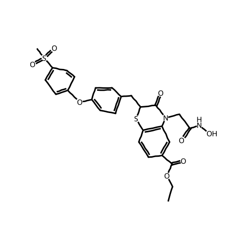 CCOC(=O)c1ccc2c(c1)N(CC(=O)NO)C(=O)C(Cc1ccc(Oc3ccc(S(C)(=O)=O)cc3)cc1)S2